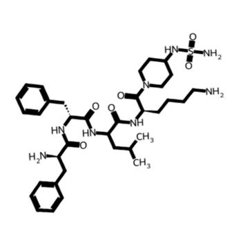 CC(C)CC(NC(=O)[C@@H](Cc1ccccc1)NC(=O)[C@H](N)Cc1ccccc1)C(=O)N[C@H](CCCCN)C(=O)N1CCC(NS(N)(=O)=O)CC1